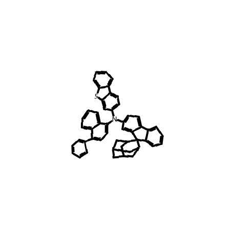 c1ccc(-c2ccc(N(c3ccc4c(c3)C3(c5ccccc5-4)C4CC5CC(C4)CC3C5)c3ccc4c(c3)sc3ccccc34)c3ccccc23)cc1